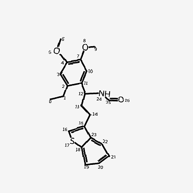 CCc1cc(OC)c(OC)cc1C(CCc1csc2ccccc12)NC=O